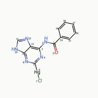 O=C(Nc1n[c]([Hg][Cl])nc2[nH]cnc12)c1ccccc1